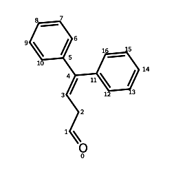 O=CCC=C(c1ccccc1)c1ccccc1